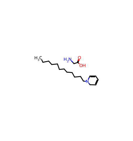 CCCCCCCCCCCCN1C=CC=CC1.NCC(=O)O